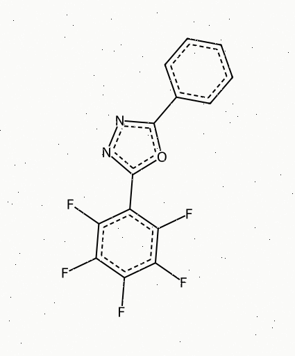 Fc1c(F)c(F)c(-c2nnc(-c3ccccc3)o2)c(F)c1F